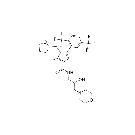 Cc1c(C(=O)NCC(O)CN2CCOCC2)cc(-c2cc(C(F)(F)F)ccc2C(F)(F)F)n1CC1CCCO1